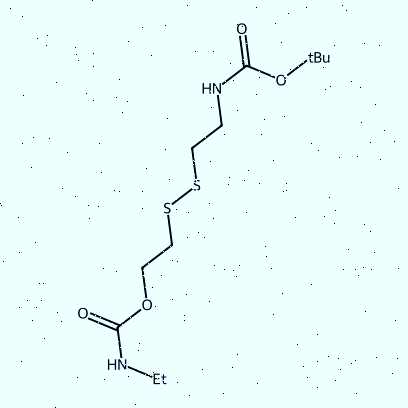 CCNC(=O)OCCSSCCNC(=O)OC(C)(C)C